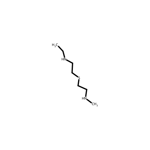 CCNCCSCCNC